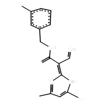 CC1=N/C(=C(/C=N)C(=O)NCc2cccc(C)c2)NC(O)=C1